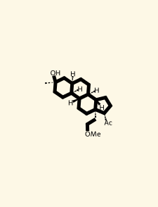 COCC[C@]12CC[C@H]3[C@@H](CC[C@@H]4C[C@](C)(O)CC[C@@H]43)[C@@H]1CC[C@@H]2C(C)=O